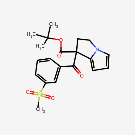 CC(C)(C)OC(=O)C1(C(=O)c2cccc(S(C)(=O)=O)c2)CCn2cccc21